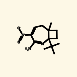 CC(C)(C)C12CCC1(C)CC=C([N+](=O)[O-])C(N)=N2